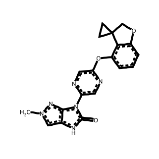 Cn1cc2[nH]c(=O)n(-c3cnc(Oc4cccc5c4C4(CC4)CO5)cn3)c2n1